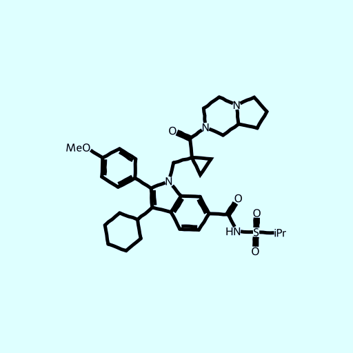 COc1ccc(-c2c(C3CCCCC3)c3ccc(C(=O)NS(=O)(=O)C(C)C)cc3n2CC2(C(=O)N3CCN4CCCC4C3)CC2)cc1